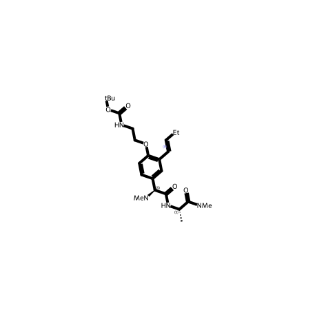 CC/C=C/c1cc([C@H](NC)C(=O)N[C@@H](C)C(=O)NC)ccc1OCCNC(=O)OC(C)(C)C